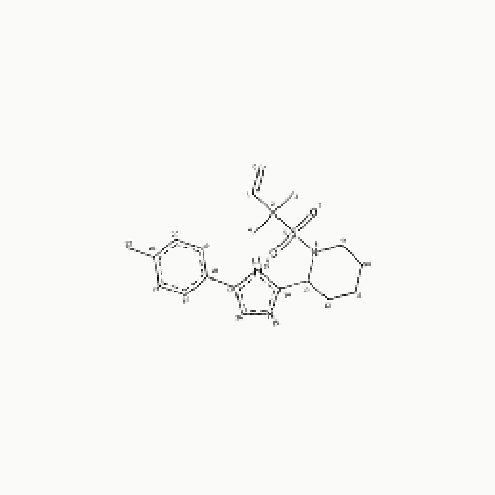 C=CC(C)(C)S(=O)(=O)N1CCCCC1c1ncc(-c2ccc(C)cc2)[nH]1